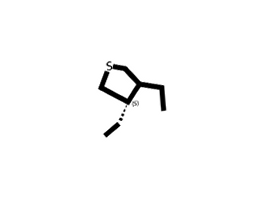 CCC1CSC[C@H]1CC